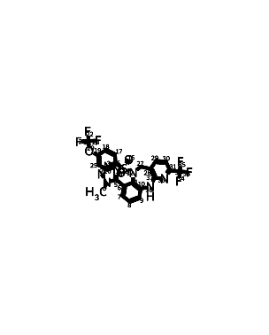 Cn1nnnc1-c1cccc2c1N(S(=O)(=O)c1ccc(OC(F)(F)F)cc1)Cc1ccc(C(F)(F)F)nc1N2